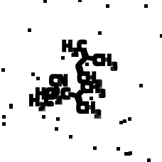 C=C(C)C(=O)O.C=CC#N.C=CC(=C)C